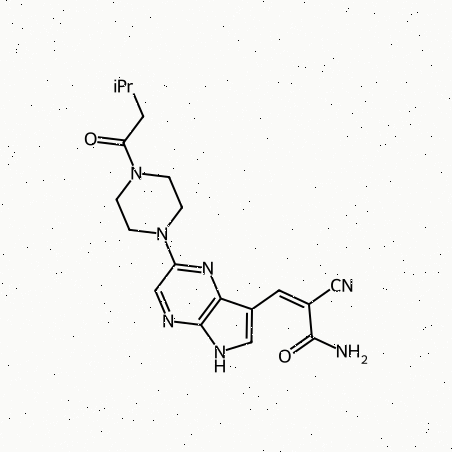 CC(C)CC(=O)N1CCN(c2cnc3[nH]cc(C=C(C#N)C(N)=O)c3n2)CC1